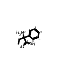 CCC(N)(C(=O)S)c1ccccc1